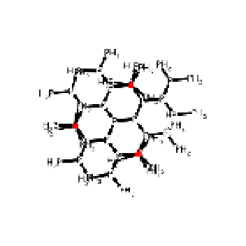 PPP(P(P)P)P(P(P)P)P(P(P(P)P)P(P)P)P(P(P(P(P)P)P(P)P)P(P(P)P)P(P)P)P(P(P(P)P)P(P)P)P(P(P)P)P(P)P